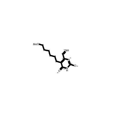 COCCCCCCc1c(C=N)nc(Cl)[nH]c1=O